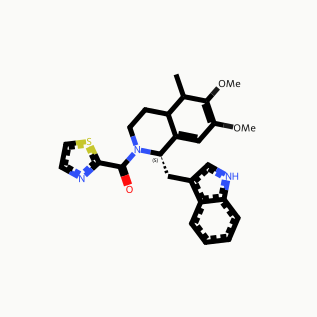 COC1=C(OC)C(C)C2CCN(C(=O)c3nccs3)[C@@H](Cc3c[nH]c4ccccc34)C2=C1